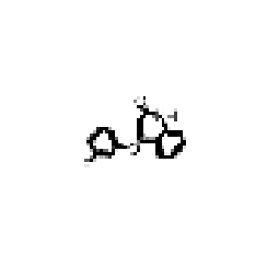 O=c1cc(Oc2cccc(F)c2)c2ccccc2[nH]1